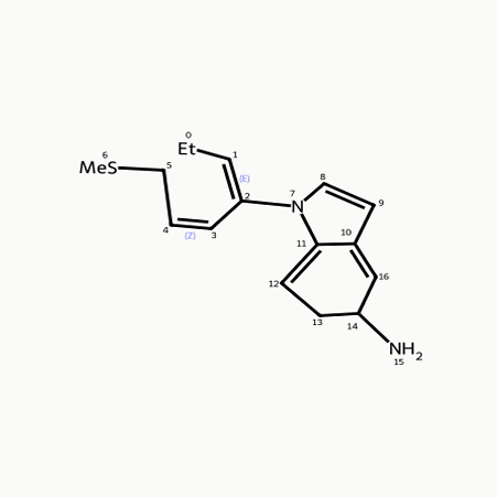 CC/C=C(\C=C/CSC)n1ccc2c1=CCC(N)C=2